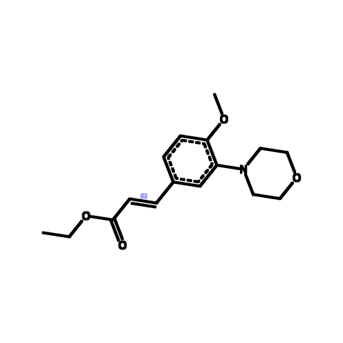 CCOC(=O)/C=C/c1ccc(OC)c(N2CCOCC2)c1